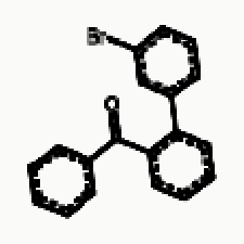 O=C(c1ccccc1)c1ccccc1-c1cccc(Br)c1